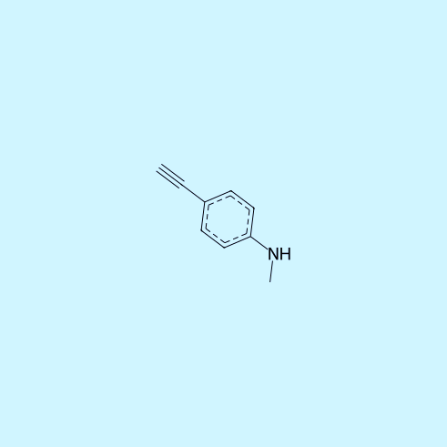 C#Cc1ccc(NC)cc1